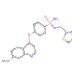 COc1ccc2c(Oc3ccc(S(N)(=O)=NCc4nccs4)cc3)ccnc2c1